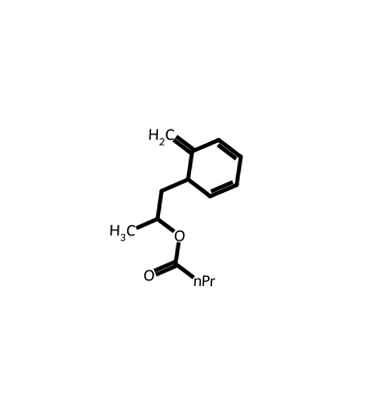 C=C1C=CC=CC1CC(C)OC(=O)CCC